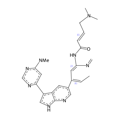 C=N/C(=C\C(=C/C)c1cnc2[nH]cc(-c3cc(NC)ncn3)c2c1)NC(=O)/C=C/CN(C)C